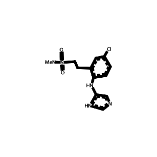 CNS(=O)(=O)CCc1cc(Cl)ccc1Nc1cnc[nH]1